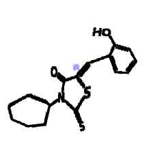 O=C1/C(=C/c2ccccc2O)SC(=S)N1C1CCCCC1